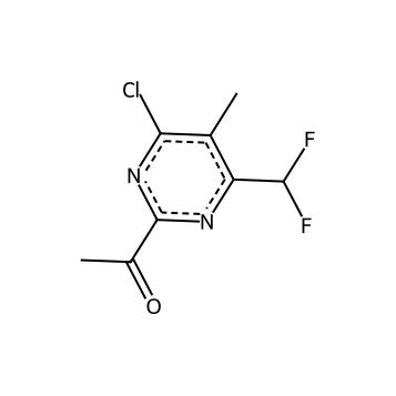 CC(=O)c1nc(Cl)c(C)c(C(F)F)n1